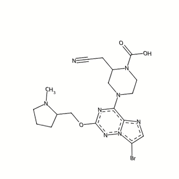 CN1CCCC1COc1nc(N2CCN(C(=O)O)C(CC#N)C2)c2ncc(Br)n2n1